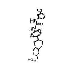 O=C(O)CC1CCC2CC(c3cnc(NC(=O)Nc4cccc(Cl)c4)cn3)CCC2C1